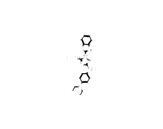 CCN(CC)c1ccc(Nc2nc(N)n(-c3nc4ccccc4s3)n2)cc1